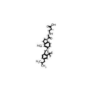 CC(C)Cc1ccc(COc2ccc3c(c2)CCN3C(=O)CNCCC(=O)O)c(C(F)(F)F)c1.Cl